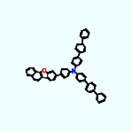 c1ccc(-c2ccc(-c3ccc(N(c4ccc(-c5ccc(-c6ccccc6)cc5)cc4)c4ccc(-c5ccc6c(c5)oc5c7ccccc7ccc65)cc4)cc3)cc2)cc1